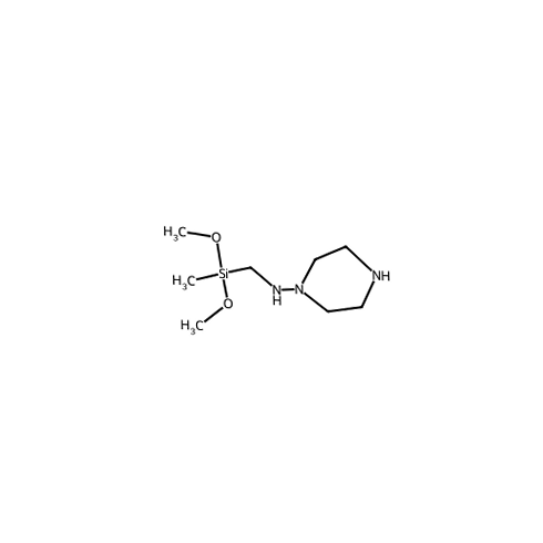 CO[Si](C)(CNN1CCNCC1)OC